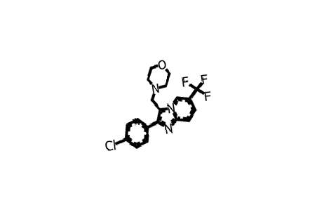 FC(F)(F)c1ccc2nc(-c3ccc(Cl)cc3)c(CN3CCOCC3)n2c1